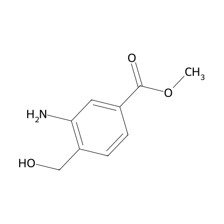 COC(=O)c1ccc(CO)c(N)c1